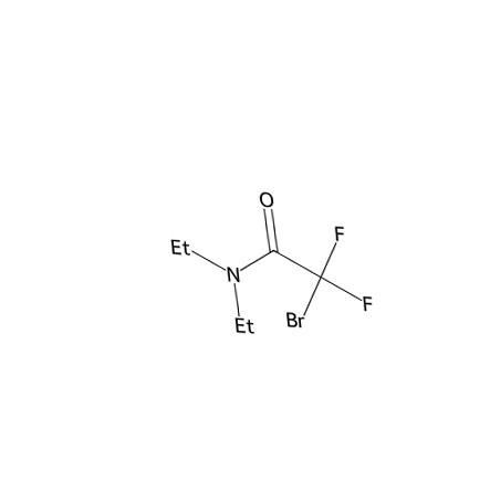 CCN(CC)C(=O)C(F)(F)Br